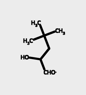 CC(C)(C)CC(O)[C]=O